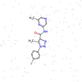 Cc1cncc(NC(=O)c2nnn(-c3ccc(F)cc3)c2C)n1